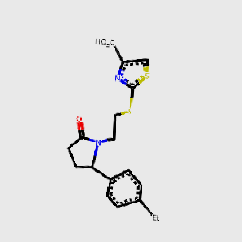 CCc1ccc(C2CCC(=O)N2CCSc2nc(C(=O)O)cs2)cc1